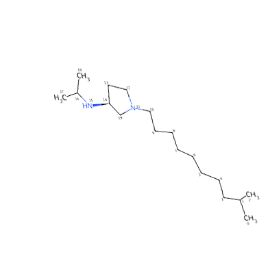 CC(C)CCCCCCCCN1CC[C@H](NC(C)C)C1